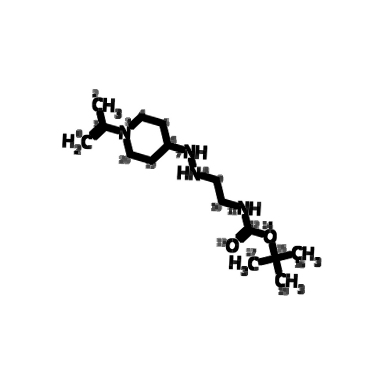 C=C(C)N1CCC(NNCCNC(=O)OC(C)(C)C)CC1